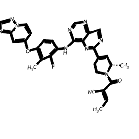 C/C=C(\C#N)C(=O)N1CCC(c2ncc3ncnc(Nc4ccc(Oc5ccn6ncnc6c5)c(C)c4F)c3n2)=C[C@@H]1C